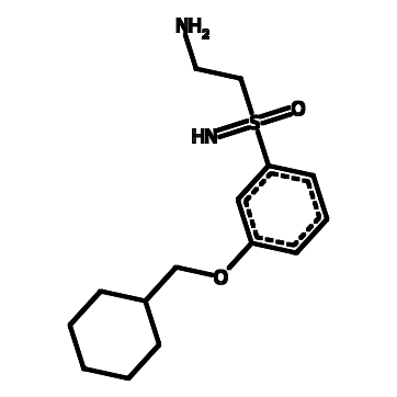 N=S(=O)(CCN)c1cccc(OCC2CCCCC2)c1